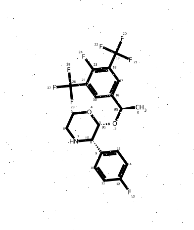 C[C@@H](O[C@H]1OCCN[C@H]1c1ccc(F)cc1)c1cc(C(F)(F)F)c(F)c(C(F)(F)F)c1